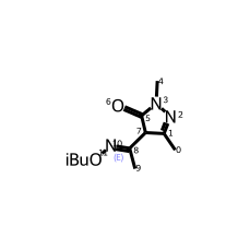 CC1=NN(C)C(=O)C1/C(C)=N/OCC(C)C